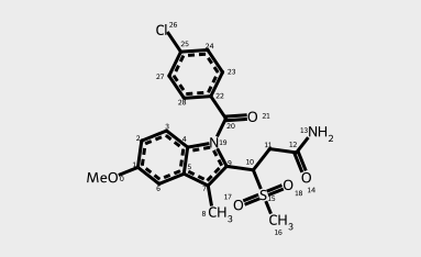 COc1ccc2c(c1)c(C)c(C(CC(N)=O)S(C)(=O)=O)n2C(=O)c1ccc(Cl)cc1